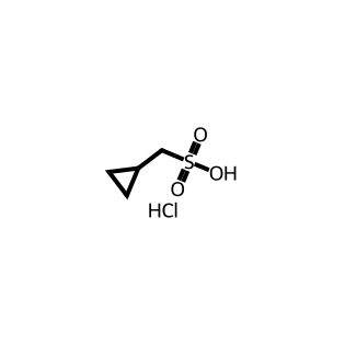 Cl.O=S(=O)(O)CC1CC1